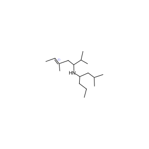 C/C=C(\C)CC(NC(CCC)CC(C)C)C(C)C